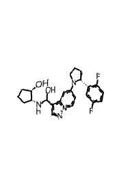 OC(N[C@@H]1CCC[C@H]1O)c1cnn2ccc(N3CCC[C@@H]3c3cc(F)ccc3F)cc12